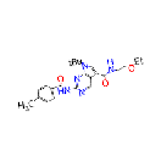 CCOCCNC(=O)c1cn(C(C)(C)C)c2nc(NC(=O)c3ccc(C)cc3)ncc12